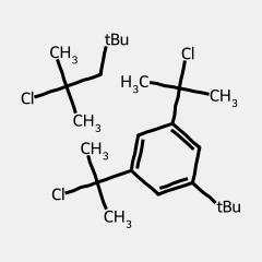 CC(C)(C)CC(C)(C)Cl.CC(C)(C)c1cc(C(C)(C)Cl)cc(C(C)(C)Cl)c1